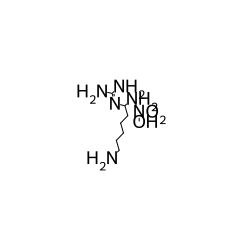 NCCCCCC(N)N=C(N)N.O=[N+]([O-])O